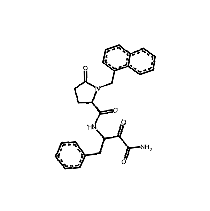 NC(=O)C(=O)C(Cc1ccccc1)NC(=O)C1CCC(=O)N1Cc1cccc2ccccc12